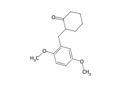 COc1ccc(OC)c(CC2CCCCC2=O)c1